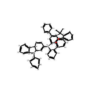 CC1(C)c2ccccc2-c2cc(N(C3=CC4C(C=C3)c3ccccc3N4c3ccccc3)c3ccccc3-c3ccccc3)cc(-c3ccccc3)c21